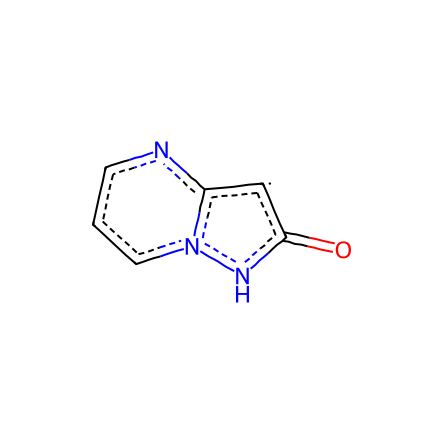 O=c1[c]c2ncccn2[nH]1